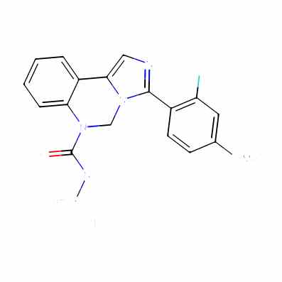 CCCCCCNC(=O)N1Cn2c(cnc2-c2ccc(OC)cc2F)-c2ccccc21.Cl